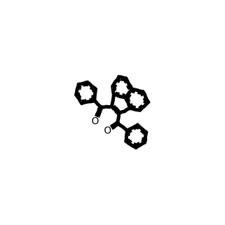 O=C(C1=C(C(=O)c2ccccc2)c2cccc3cccc1c23)c1ccccc1